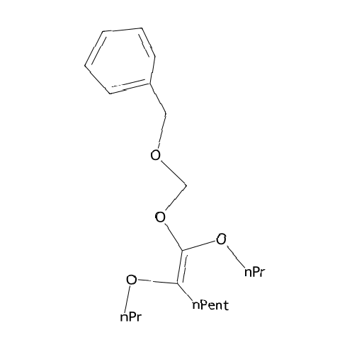 CCCCCC(OCCC)=C(OCCC)OCOCc1ccccc1